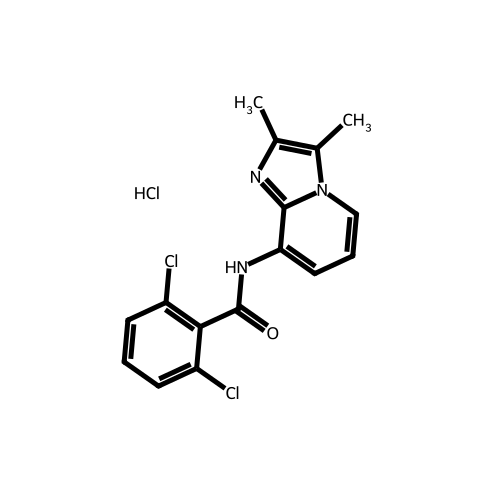 Cc1nc2c(NC(=O)c3c(Cl)cccc3Cl)cccn2c1C.Cl